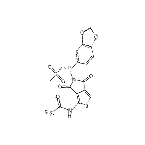 CS(=O)(=O)C[C@H](c1ccc2c(c1)OCO2)N1C(=O)c2csc(NC(=O)C(F)(F)F)c2C1=O